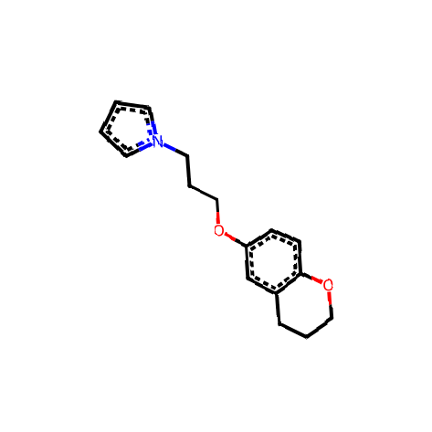 c1ccn(CCCOc2ccc3c(c2)CCCO3)c1